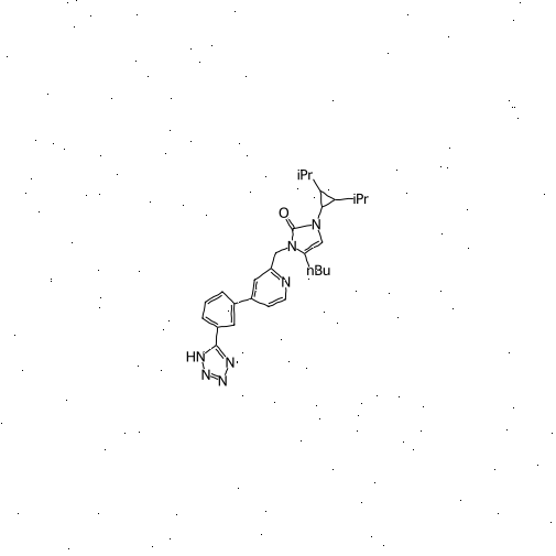 CCCCc1cn(C2C(C(C)C)C2C(C)C)c(=O)n1Cc1cc(-c2cccc(-c3nnn[nH]3)c2)ccn1